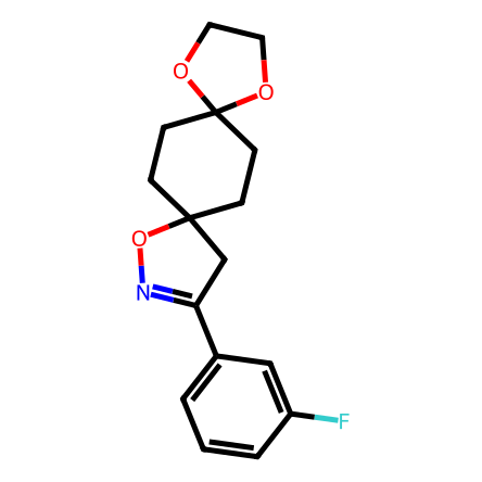 Fc1cccc(C2=NOC3(CCC4(CC3)OCCO4)C2)c1